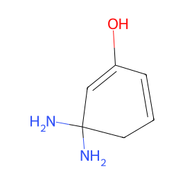 NC1(N)C=C(O)C=CC1